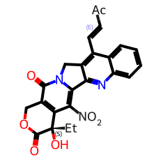 CC[C@@]1(O)C(=O)OCc2c1c([N+](=O)[O-])c1n(c2=O)Cc2c-1nc1ccccc1c2/C=C/C(C)=O